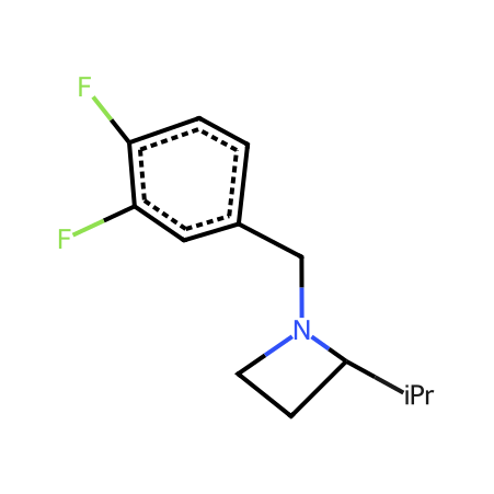 CC(C)C1CCN1Cc1ccc(F)c(F)c1